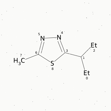 CCC(CC)c1nnc(C)s1